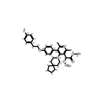 Cc1nc(C)c(C(OC(C)(C)C)C(=O)OC(C)C)c(N2CCC3(CCCC3)CC2)c1-c1ccc(OCCc2ccc(F)cc2)cc1